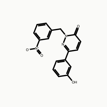 O=c1ccc(-c2cccc(O)c2)nn1Cc1cccc([N+](=O)[O-])c1